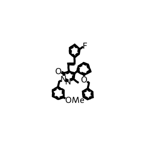 COc1cccc(Cn2nc(C)c(-c3ccccc3OCc3ccccc3)c(/C=C/c3cccc(F)c3)c2=O)c1